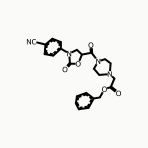 N#Cc1ccc(N2CC(C(=O)N3CCN(CC(=O)OCc4ccccc4)CC3)OC2=O)cc1